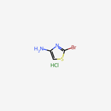 Cl.Nc1csc(Br)n1